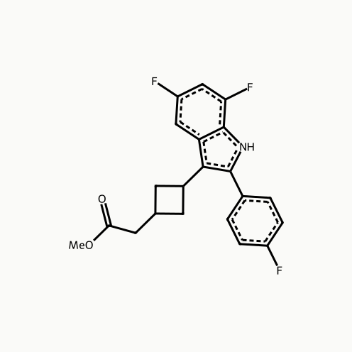 COC(=O)CC1CC(c2c(-c3ccc(F)cc3)[nH]c3c(F)cc(F)cc23)C1